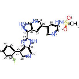 CS(=O)(=O)Nc1cncc(-c2cnc3[nH]nc(-c4nc5c(-c6ccccc6F)cncc5[nH]4)c3c2)c1